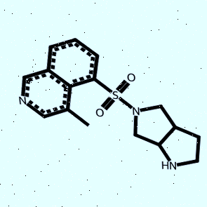 Cc1cncc2cccc(S(=O)(=O)N3CC4CCNC4C3)c12